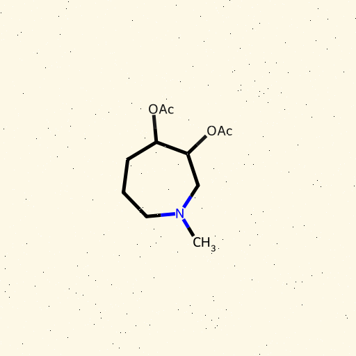 CC(=O)OC1CCCN(C)CC1OC(C)=O